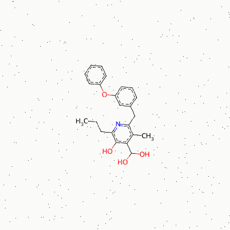 CCCc1nc(Cc2cccc(Oc3ccccc3)c2)c(C)c(C(O)O)c1O